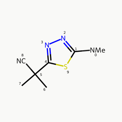 CNc1nnc(C(C)(C)C#N)s1